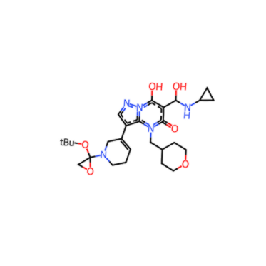 CC(C)(C)OC1(N2CCC=C(c3cnn4c(O)c(C(O)NC5CC5)c(=O)n(CC5CCOCC5)c34)C2)CO1